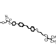 C=C(C)C(=O)OCCCOc1ccc(/C=C/c2ccc(-c3ccc(OC(=O)C(=C)CO)cc3)cc2)cc1